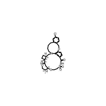 C[C@@H]1CO[C@H]2C[C@H]1OCCS(=O)(=O)NC(=O)c1ccc3c(c1)N(CCCCc1cc(Cl)ccc1CO3)C[C@@H]1CC[C@H]12